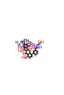 CCC[C@@](O)(C(=O)/C(C(N)=O)=C(/O)[C@H](C)N(C)C)/C(O)=C1\CCc2c(-c3cccc(C(=O)NCCO)c3)ccc(O)c2C1=O